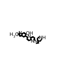 Cn1cc2cc(-c3ccc4nc(N5CCC56CCNCC6)ccc4n3)c(O)cc2n1